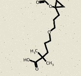 CC(C)(CCCOCCCC1(OC=O)CC1)C(=O)O